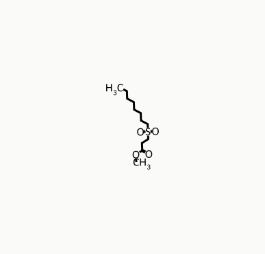 CCCCCCCCS(=O)(=O)CCC(=O)OC